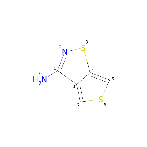 Nc1nsc2cscc12